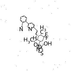 C[C@H]1OC(=O)[C@]2(C(O)c3cscn3)CC(F)(F)[C@@H](C)[C@H](/C=C/c3ccc(-c4ccccc4C#N)cn3)[C@H]12